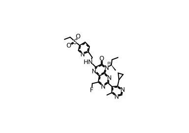 CC[C@@H](C)n1c(=O)c(NCc2ccc(S(=O)(=O)CC)cn2)nc2c(CF)nc(-c3c(C)ncnc3C3CC3)nc21